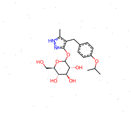 Cc1[nH]nc(OC2O[C@H](CO)[C@@H](O)[C@H](O)[C@H]2O)c1Cc1ccc(OC(C)C)cc1